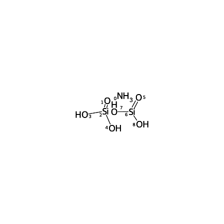 N.O=[Si](O)O.O=[Si](O)O